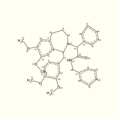 COc1ccc(CC2c3cc(OC)c(OC)cc3CCCN2C(C(=O)NCc2ccncc2)c2ccccc2)cc1OC